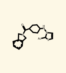 CC(=O)C1SC=CN1NC1CCC(C(=O)N2Cc3ccccc3C2)CC1